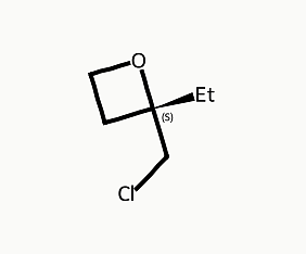 CC[C@@]1(CCl)CCO1